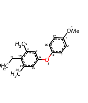 COc1ccc(Oc2cc(C)c(CC=O)c(C)c2)cc1